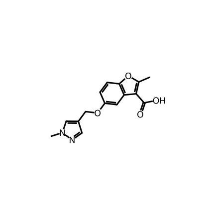 Cc1oc2ccc(OCc3cnn(C)c3)cc2c1C(=O)O